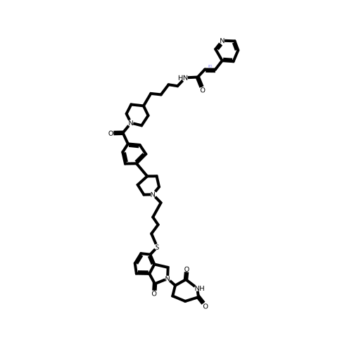 O=C(/C=C/c1cccnc1)NCCCCC1CCN(C(=O)c2ccc(C3CCN(CCCCSc4cccc5c4CN(C4CCC(=O)NC4=O)C5=O)CC3)cc2)CC1